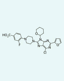 O=C(O)c1ccc(N2CCN(c3nc4c(Cl)nc(-c5ccco5)nc4n3C3CCCCO3)CC2)c(F)c1